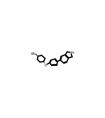 CC(C)(C)[C@H]1CC[C@H](Oc2ccc(-c3ccc4c(c3)CNC4)cc2)CC1